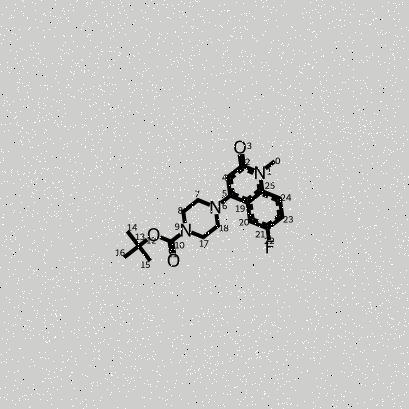 Cn1c(=O)cc(N2CCN(C(=O)OC(C)(C)C)CC2)c2cc(F)ccc21